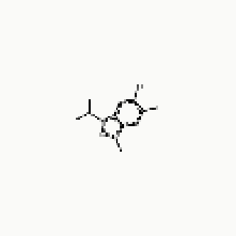 CC(C)c1nn(C)c2cc(F)c(Cl)cc12